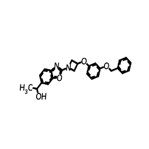 CC(O)c1ccc2nc(N3CC(Oc4cccc(OCc5ccccc5)c4)C3)oc2c1